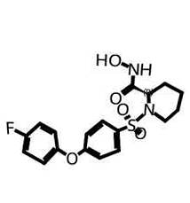 O=C(NO)[C@H]1CCCCN1S(=O)(=O)c1ccc(Oc2ccc(F)cc2)cc1